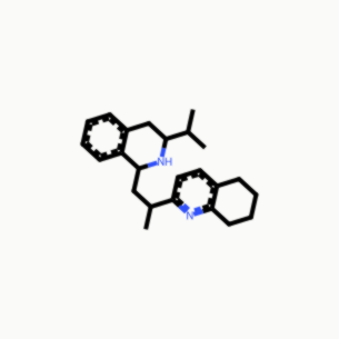 CC(CC1NC(C(C)C)Cc2ccccc21)c1ccc2c(n1)CCCC2